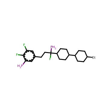 CCC1CCC(C2CCC(C(F)(P)CCc3cc(F)c(F)c(P)c3)CC2)CC1